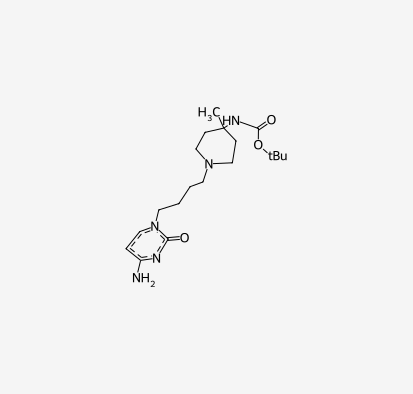 CC1(NC(=O)OC(C)(C)C)CCN(CCCCn2ccc(N)nc2=O)CC1